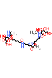 CC(=O)NC1C(OCCCCCC(=O)NCCCCC(NC(=O)CCCCCOC2OC(CO)C(O)C(O)C2NC(C)=O)C(C)=O)OC(CO)C(O)C1O